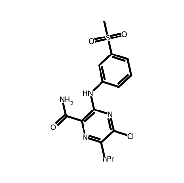 CCCc1nc(C(N)=O)c(Nc2cccc(S(C)(=O)=O)c2)nc1Cl